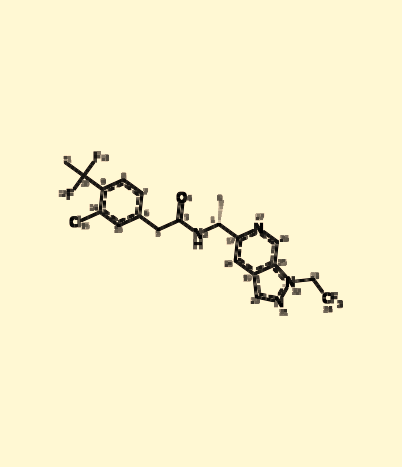 C[C@@H](NC(=O)Cc1ccc(C(C)(F)F)c(Cl)c1)c1cc2cnn(CC(F)(F)F)c2cn1